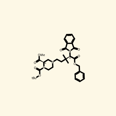 COC(=O)[C@H]1CN(CCC(C)(C)[C@H](C(=O)OCc2ccccc2)N2C(=O)c3ccccc3C2=O)CCN1C(=O)OC(C)(C)C